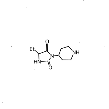 CCC1NC(=O)N(C2CCNCC2)C1=O